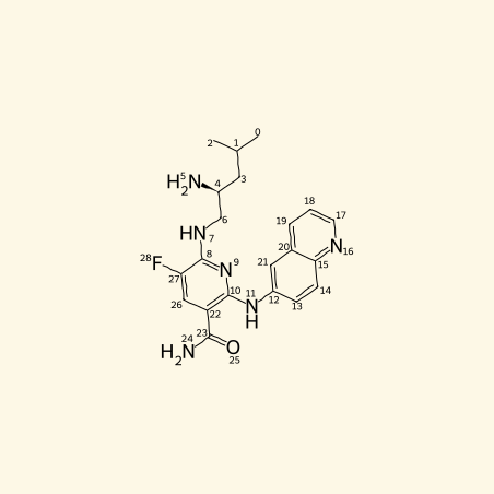 CC(C)C[C@H](N)CNc1nc(Nc2ccc3ncccc3c2)c(C(N)=O)cc1F